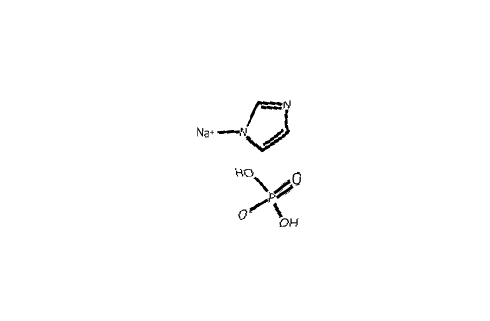 Cn1ccnc1.O=P([O-])(O)O.[Na+]